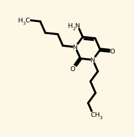 CCCCCn1c(N)cc(=O)n(CCCCC)c1=O